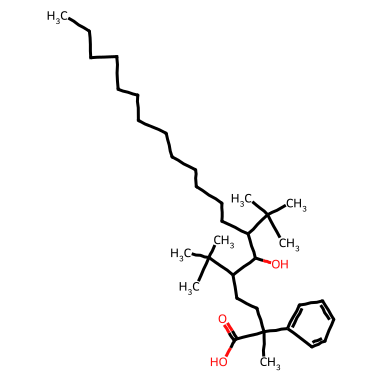 CCCCCCCCCCCCCC(C(O)C(CCC(C)(C(=O)O)c1ccccc1)C(C)(C)C)C(C)(C)C